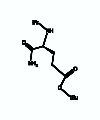 CC(C)N[C@@H](CCC(=O)OC(C)(C)C)C(N)=O